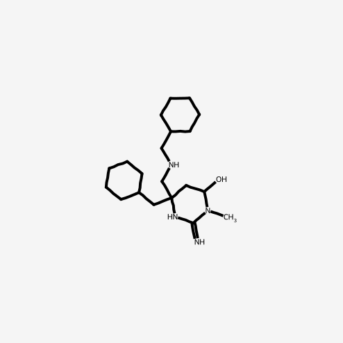 CN1C(=N)NC(CNCC2CCCCC2)(CC2CCCCC2)CC1O